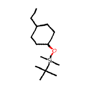 CCC1CCC(O[Si](C)(C)C(C)(C)C)CC1